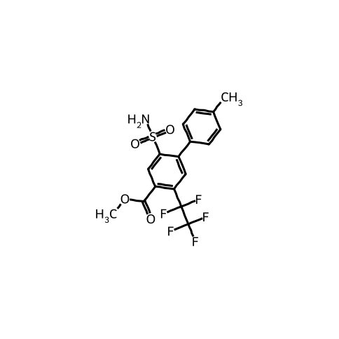 COC(=O)c1cc(S(N)(=O)=O)c(-c2ccc(C)cc2)cc1C(F)(F)C(F)(F)F